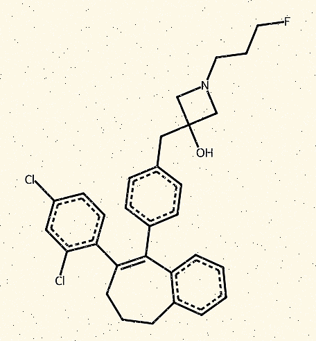 OC1(Cc2ccc(C3=C(c4ccc(Cl)cc4Cl)CCCc4ccccc43)cc2)CN(CCCF)C1